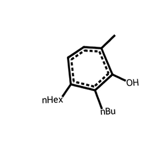 CCCCCCc1ccc(C)c(O)c1CCCC